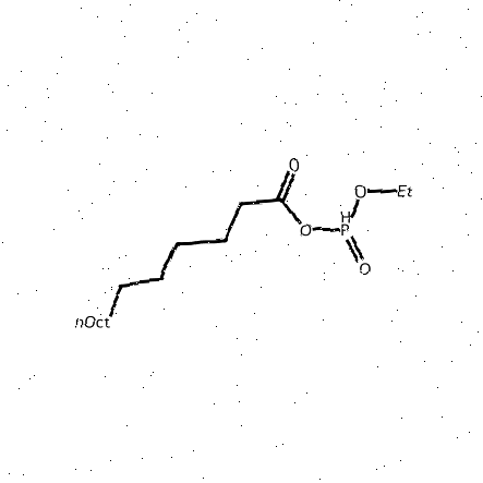 CCCCCCCCCCCCCC(=O)O[PH](=O)OCC